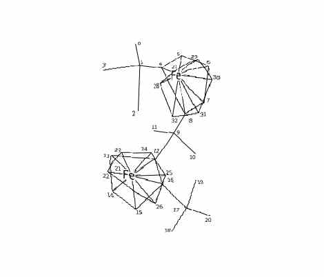 CC(C)(C)[C]12[CH]3[CH]4[CH]5[C]1(C(C)(C)[C]16[CH]7[CH]8[CH]9[C]1(C(C)(C)C)[Fe]89761%10%11%12[CH]6[CH]1[CH]%10[CH]%11[CH]6%12)[Fe]43521678[CH]2[CH]1[CH]6[CH]7[CH]28